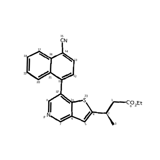 CCOC(=O)C[C@@H](C)c1cc2cncc(-c3ccc(C#N)c4ccccc34)c2s1